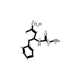 CC(=CC(Cc1ccccc1)NC(=O)OC(C)(C)C)C(=O)O